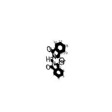 O=C1c2ccccc2C(=O)N1BN1C(=O)c2ccccc2C1=O